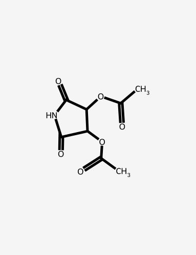 CC(=O)OC1C(=O)NC(=O)C1OC(C)=O